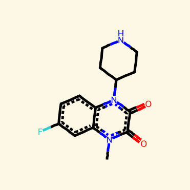 Cn1c(=O)c(=O)n(C2CCNCC2)c2ccc(F)cc21